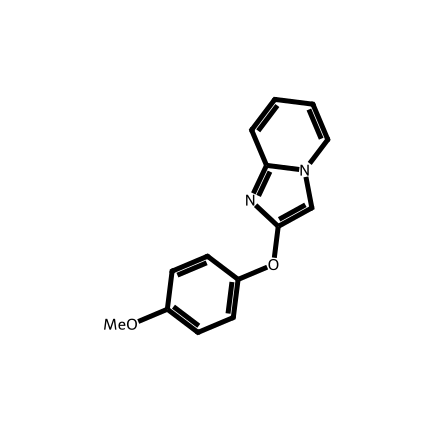 COc1ccc(Oc2cn3ccccc3n2)cc1